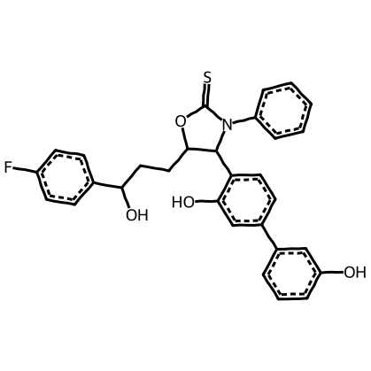 Oc1cccc(-c2ccc(C3C(CCC(O)c4ccc(F)cc4)OC(=S)N3c3ccccc3)c(O)c2)c1